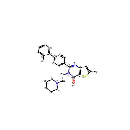 Cc1cc2nc(-c3ccc(-c4ccccc4C)cc3)n(CCN3CCCCC3)c(=O)c2s1